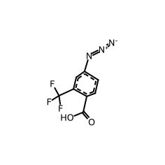 [N-]=[N+]=Nc1ccc(C(=O)O)c(C(F)(F)F)c1